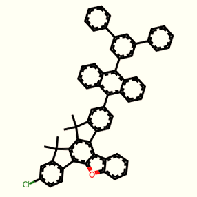 CC1(C)c2cc(Cl)ccc2-c2c1c1c(c3c2oc2ccccc23)-c2ccc(-c3c4ccccc4c(-c4cc(-c5ccccc5)cc(-c5ccccc5)c4)c4ccccc34)cc2C1(C)C